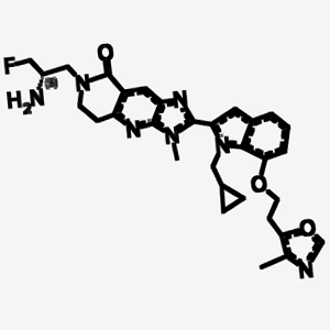 Cc1ncoc1CCOc1cccc2cc(-c3nc4cc5c(nc4n3C)CCN(C[C@H](N)CF)C5=O)n(CC3CC3)c12